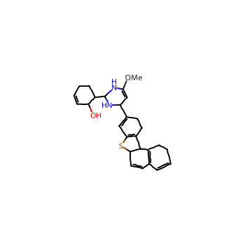 COC1=CC(C2=CC3=C(CC2)C2C4=C(C=CCC4)C=CC2S3)NC(C2CCC=CC2O)N1